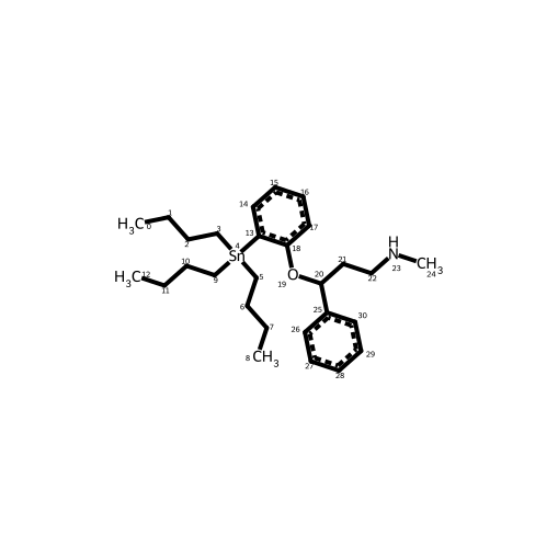 CCC[CH2][Sn]([CH2]CCC)([CH2]CCC)[c]1ccccc1OC(CCNC)c1ccccc1